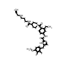 C#CCNCCCNC(=O)C1CCN(C(=O)c2ccc(NC(=O)c3ncc(Cc4ccc(OC)c(F)c4F)[nH]3)cc2CC)CC1